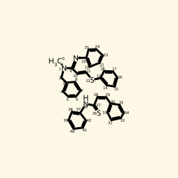 CN(Cc1ccccc1)C(/C=C/Sc1ccccc1)=N/c1ccccc1.S=C(/C=C\c1ccccc1)Nc1ccccc1